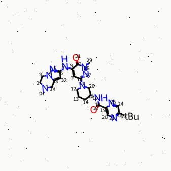 CN1CCn2nc(Nc3cc(N4CCC[C@@H](NC(=O)c5cnc(C(C)(C)C)cn5)C4)nn(C)c3=O)cc2C1